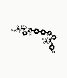 COC(=O)N[C@H](C(=O)N1CCC[C@H]1c1ncc(-c2ccc(-c3ccc(-c4cnc([C@@H]5CCCN5C(=O)[C@H](Cc5ccc(O)cc5)OC(N)=O)[nH]4)cc3)cc2)[nH]1)C(C)C